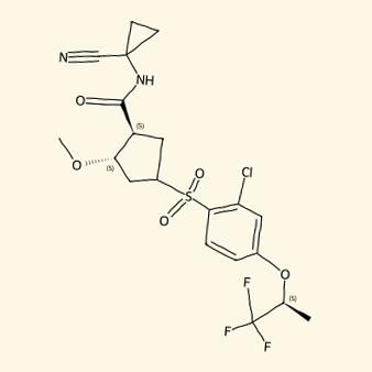 CO[C@H]1CC(S(=O)(=O)c2ccc(O[C@@H](C)C(F)(F)F)cc2Cl)C[C@@H]1C(=O)NC1(C#N)CC1